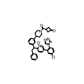 O=C1CC(C(=O)N2CCC(c3cccc(C(Cc4ccccc4)c4ccc(-c5cc(Cl)ccc5-n5cnnn5)c[n+]4[O-])c3)CC2)C1